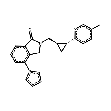 Cc1ccc([C@@H]2C[C@H]2CN2Cc3c(cccc3-n3cccn3)C2=O)nc1